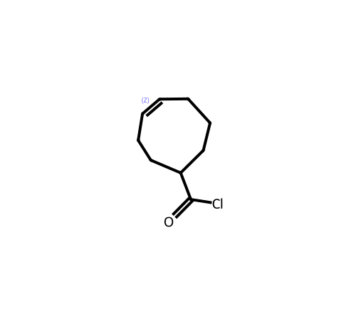 O=C(Cl)C1CC/C=C\CCC1